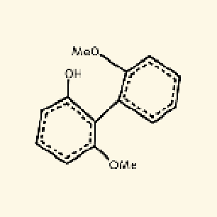 COc1ccccc1-c1c(O)cccc1OC